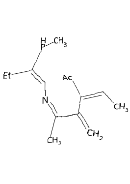 C=C(/C(C)=N\C=C(/CC)PC)/C(=C\C)C(C)=O